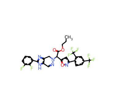 CCCOC(=O)C(c1cc(-c2ccc(C(F)(F)F)cc2C(F)(F)F)no1)N1Cc2nc(-c3cccc(F)c3F)[nH]c2C=N1